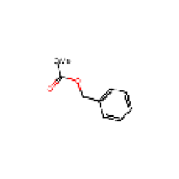 COC(=O)OCc1ccccc1